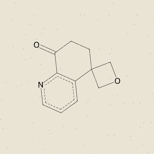 O=C1CCC2(COC2)c2cccnc21